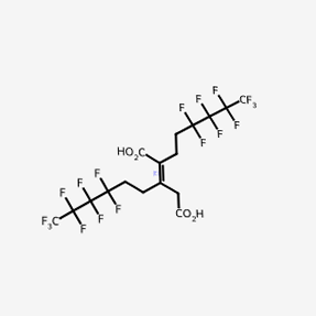 O=C(O)C/C(CCC(F)(F)C(F)(F)C(F)(F)C(F)(F)F)=C(\CCC(F)(F)C(F)(F)C(F)(F)C(F)(F)F)C(=O)O